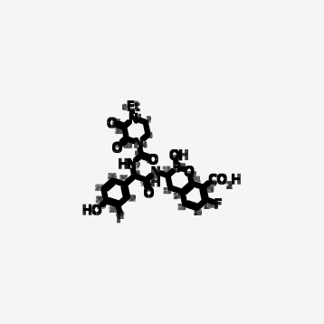 CCN1CCN(C(=O)NC(C(=O)NC2Cc3ccc(F)c(C(=O)O)c3OB2O)c2ccc(O)c(F)c2)C(=O)C1=O